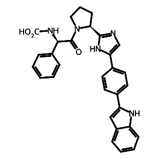 O=C(O)N[C@@H](C(=O)N1CCC[C@H]1c1ncc(-c2ccc(-c3cc4ccccc4[nH]3)cc2)[nH]1)c1ccccc1